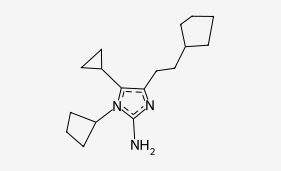 Nc1nc(CCC2CCCC2)c(C2CC2)n1C1CCC1